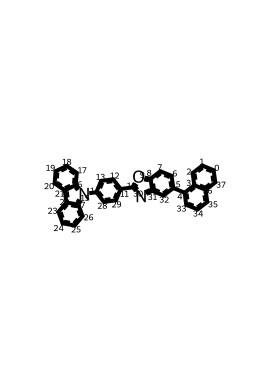 c1ccc2c(-c3ccc4oc(-c5ccc(-n6c7ccccc7c7ccccc76)cc5)nc4c3)cccc2c1